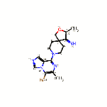 Cc1nc(N2CCC3(CC2)CO[C@@H](C)C3=N)c2cncn2c1Br